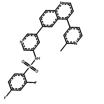 Cc1cc(-c2ccnc3ccc(-c4cncc(NS(=O)(=O)c5ccc(F)cc5F)c4)cc23)ccn1